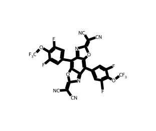 N#CC(C#N)=c1nc2c(-c3cc(F)c(OC(F)(F)F)c(F)c3)c3oc(=C(C#N)C#N)nc3c(-c3cc(F)c(OC(F)(F)F)c(F)c3)c2o1